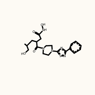 CC(CO)CC(CC(=O)NO)C(=O)N1CCN(c2nc(-c3ccccc3)ns2)CC1